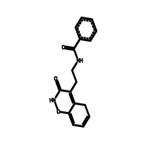 O=C1NOC2=CC=CCC2=C1CCNC(=O)c1ccccc1